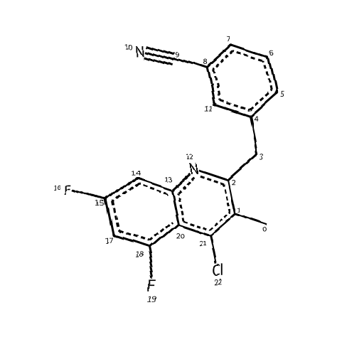 Cc1c(Cc2cccc(C#N)c2)nc2cc(F)cc(F)c2c1Cl